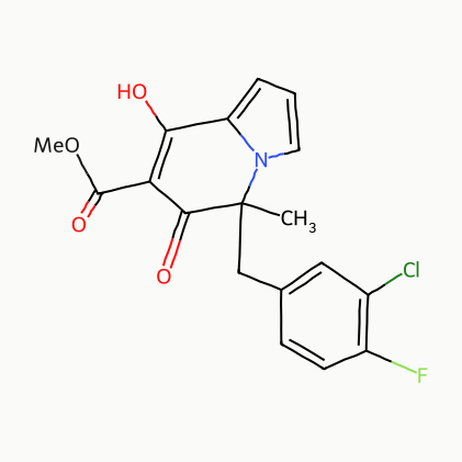 COC(=O)C1=C(O)c2cccn2C(C)(Cc2ccc(F)c(Cl)c2)C1=O